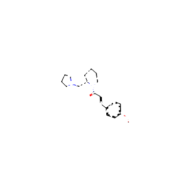 COc1ccc(/C=C/C(=O)N2CCCCC2CN2CCCC2)cc1